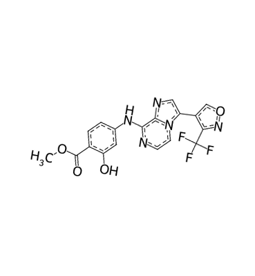 COC(=O)c1ccc(Nc2nccn3c(-c4conc4C(F)(F)F)cnc23)cc1O